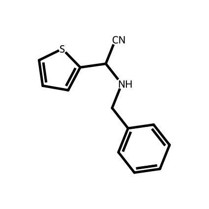 N#CC(NCc1ccccc1)c1cccs1